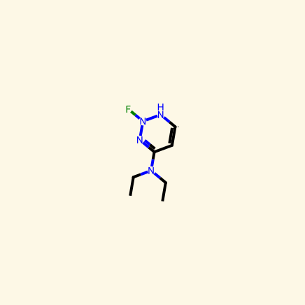 CCN(CC)C1=NN(F)N[C]=C1